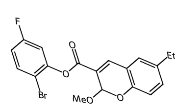 CCc1ccc2c(c1)C=C(C(=O)Oc1cc(F)ccc1Br)C(OC)O2